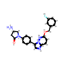 N[C@H]1CC(=O)N(c2ccc(-c3cnc4ccc(OCc5cccc(F)c5)nn34)cc2)C1